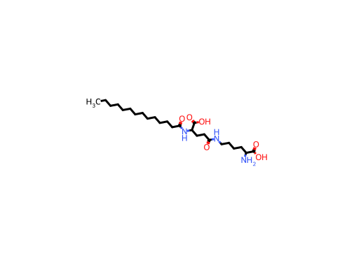 CCCCCCCCCCCCCC(=O)NC(CCC(=O)NCCCCC(N)C(=O)O)C(=O)O